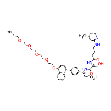 Cc1ccnc(NCCCC(=O)N[C@@H](CO)C(=O)N[C@@H](CC(=O)O)c2ccc(-c3ccc(OCCOCCOCCOCCOCCC(C)(C)C)c4ccccc34)cc2)c1